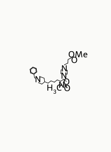 COC(=O)CCCN1CCN(C2OC(=O)N(C)C2CCCCC2CCN(Cc3ccccc3)CC2)CC1